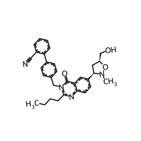 CCCCc1nc2ccc([C@H]3C[C@@H](CO)ON3C)cc2c(=O)n1Cc1ccc(-c2ccccc2C#N)cc1